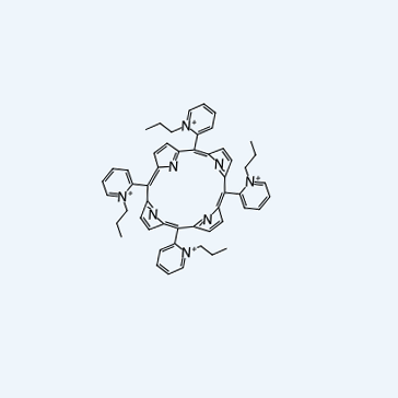 CCC[n+]1ccccc1C1=C2C=CC(=N2)C(c2cccc[n+]2CCC)=C2C=CC(=N2)C(c2cccc[n+]2CCC)=C2C=CC(=N2)C(c2cccc[n+]2CCC)=C2C=CC1=N2